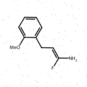 COc1ccccc1C/C=C(/N)F